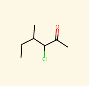 CCC(C)C(Cl)C(C)=O